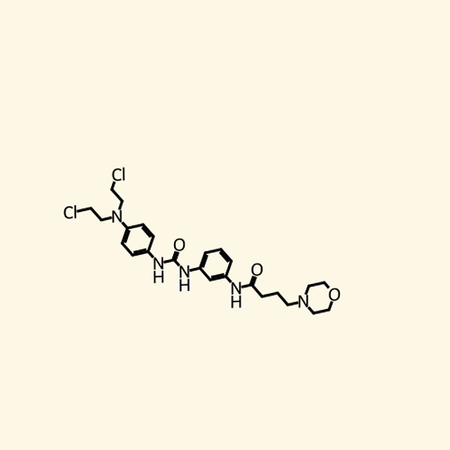 O=C(CCCN1CCOCC1)Nc1cccc(NC(=O)Nc2ccc(N(CCCl)CCCl)cc2)c1